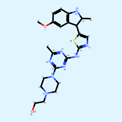 COc1ccc2c(c1)C(c1cnc(Nc3nc(C)nc(N4CCN(CCO)CC4)n3)s1)C(C)N2